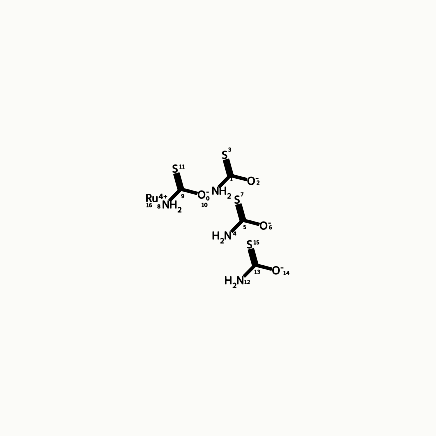 NC([O-])=S.NC([O-])=S.NC([O-])=S.NC([O-])=S.[Ru+4]